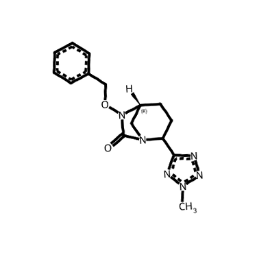 Cn1nnc(C2CC[C@@H]3CN2C(=O)N3OCc2ccccc2)n1